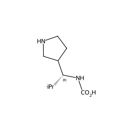 C[C](C)[C@@H](NC(=O)O)C1CCNC1